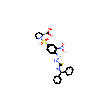 O=C(O)[C@@H]1CCCN1S(=O)(=O)c1ccc(NNC(=S)NC(c2ccccc2)c2ccccc2)c([N+](=O)[O-])c1